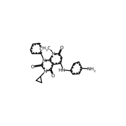 Cn1c(=O)cc(Nc2ccc(N)cc2)c2c(=O)n(C3CC3)c(=O)n(-c3ccccc3)c21